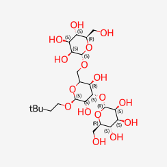 CC(C)(C)CCO[C@H]1OC(CO[C@H]2O[C@H](CO)[C@@H](O)[C@H](O)[C@@H]2O)[C@@H](O)[C@H](O[C@H]2O[C@H](CO)[C@@H](O)[C@H](O)[C@@H]2O)[C@@H]1O